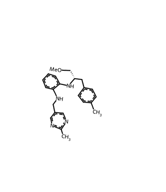 COC[C@H](Cc1ccc(C)cc1)Nc1ccccc1NCc1cnc(C)nc1